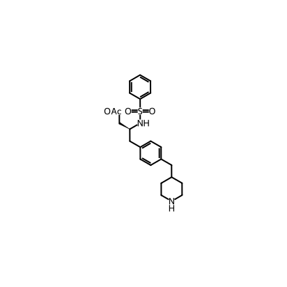 CC(=O)OC[C@H](Cc1ccc(CC2CCNCC2)cc1)NS(=O)(=O)c1ccccc1